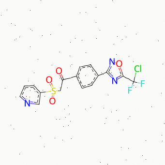 O=C(CS(=O)(=O)c1cccnc1)c1ccc(-c2noc(C(F)(F)Cl)n2)cc1